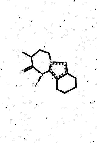 CN1C(=O)C(I)CCn2nc3c(c21)CCCC3